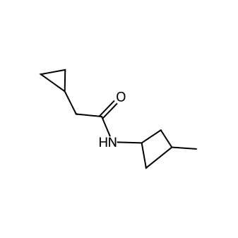 CC1CC(NC(=O)CC2CC2)C1